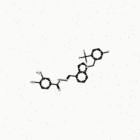 Nc1cc(C(=O)N/N=C/c2cccc3c2ccn3Cc2cc(F)ccc2C(F)(F)F)ccc1O